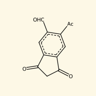 CC(=O)c1cc2c(cc1C=O)C(=O)CC2=O